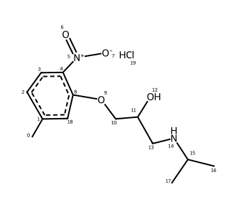 Cc1ccc([N+](=O)[O-])c(OCC(O)CNC(C)C)c1.Cl